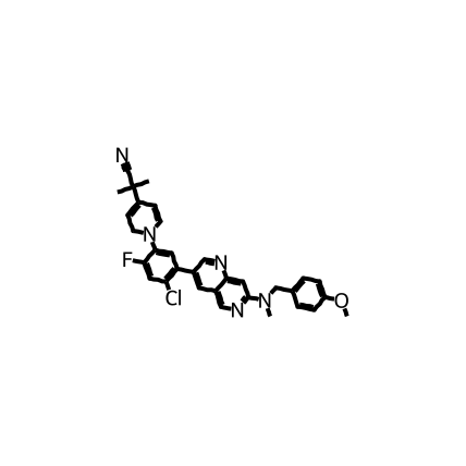 COc1ccc(CN(C)c2cc3ncc(-c4cc(N5C=CC(C(C)(C)C#N)=CC5)c(F)cc4Cl)cc3cn2)cc1